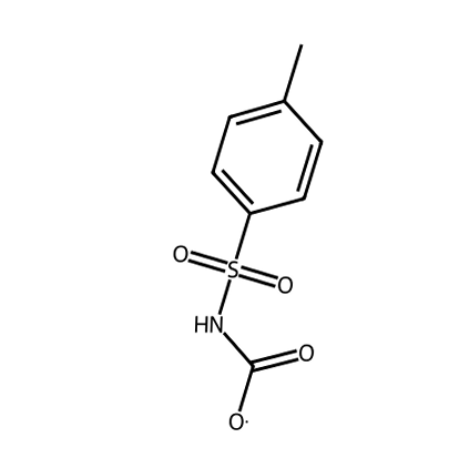 Cc1ccc(S(=O)(=O)NC([O])=O)cc1